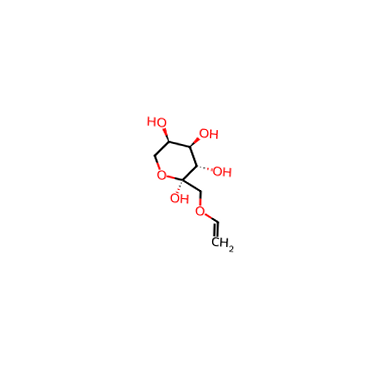 C=COC[C@@]1(O)OC[C@@H](O)[C@@H](O)[C@@H]1O